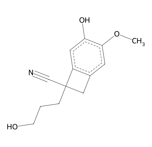 COc1cc2c(cc1O)C(C#N)(CCCO)C2